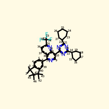 CC1(C)c2ccc(-c3ncc(-c4nc(C5CCCCC5)nc(C5CCCCC5)n4)c4nc(C(F)(F)F)ccc34)cc2C(C)(C)C1(C)C